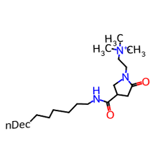 CCCCCCCCCCCCCCCCNC(=O)C1CC(=O)N(CC[N+](C)(C)C)C1